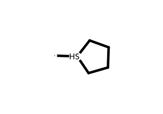 [CH2][SH]1CCCC1